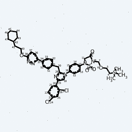 C[Si](C)(C)CCOCN1C(=O)CN(c2ccc(-n3cc(-c4ccc(Cl)cc4Cl)nc3Cc3ccc(-c4ccc(OCCC5CCCCC5)nn4)cc3)cc2)S1(=O)=O